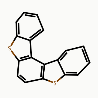 c1ccc2c(c1)sc1ccc3sc4ccccc4c3c12